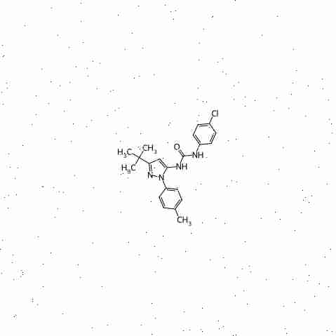 Cc1ccc(-n2nc(C(C)(C)C)cc2NC(=O)Nc2ccc(Cl)cc2)cc1